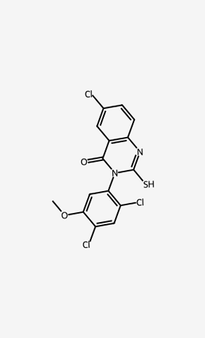 COc1cc(-n2c(S)nc3ccc(Cl)cc3c2=O)c(Cl)cc1Cl